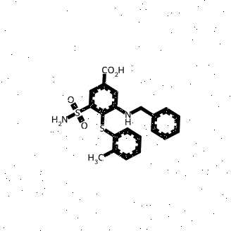 Cc1ccccc1Sc1c(NCc2ccccc2)cc(C(=O)O)cc1S(N)(=O)=O